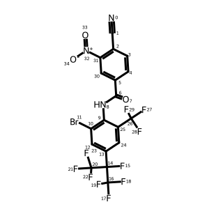 N#Cc1ccc(C(=O)Nc2c(Br)cc(C(F)(C(F)(F)F)C(F)(F)F)cc2C(F)(F)F)cc1[N+](=O)[O-]